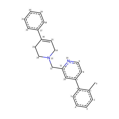 Cc1ccccc1-c1ccnc(CN2CC=C(c3ccccc3)CC2)c1